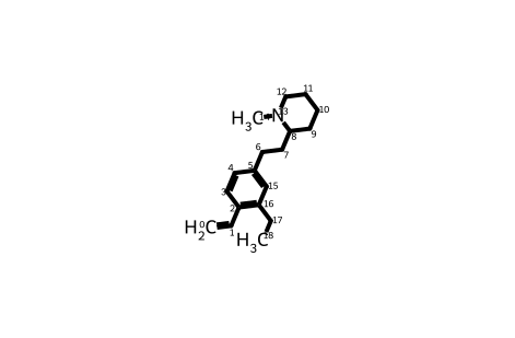 C=Cc1ccc(CCC2CCCCN2C)cc1CC